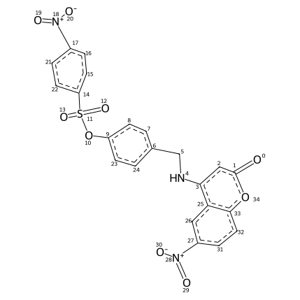 O=c1cc(NCc2ccc(OS(=O)(=O)c3ccc([N+](=O)[O-])cc3)cc2)c2cc([N+](=O)[O-])ccc2o1